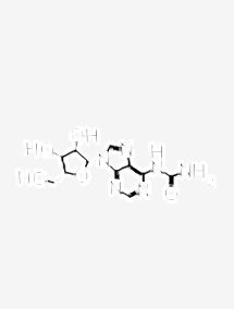 NC(=O)Nc1ncnc2c1ncn2[C@@H]1O[C@H](CO)[C@@H](O)[C@H]1O